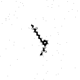 CCOC(=O)CCCCCCCc1cccc(OCC(=O)OCC)c1